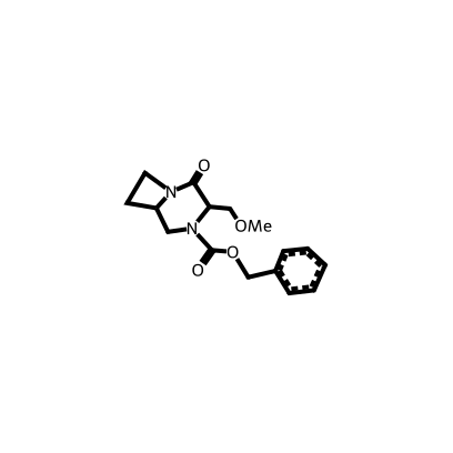 COCC1C(=O)N2CCC2CN1C(=O)OCc1ccccc1